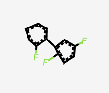 Fc1c[c]c(F)c(-c2ccccc2F)c1